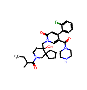 CC(CC(F)(F)F)C(=O)N1CCC(O)(Cn2cc(C(=O)N3CCNCC3)c(-c3ccccc3F)cc2=O)C2(CCCC2)C1